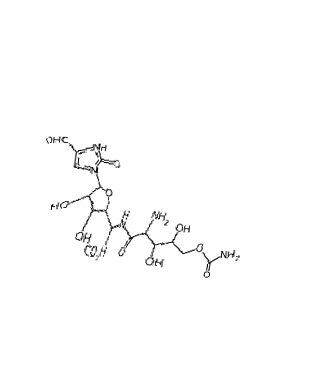 NC(=O)OCC(O)C(O)C(N)C(=O)NC(C(=O)O)C1OC(n2cc(C=O)[nH]c2=O)C(O)C1O